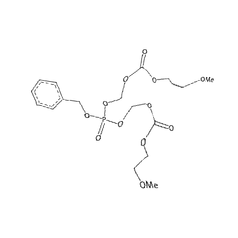 COCCOC(=O)OCOP(=O)(OCOC(=O)OCCOC)OCc1ccccc1